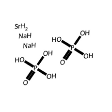 O=P(O)(O)O.O=P(O)(O)O.[NaH].[NaH].[SrH2]